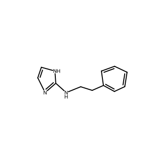 c1ccc(CCNc2ncc[nH]2)cc1